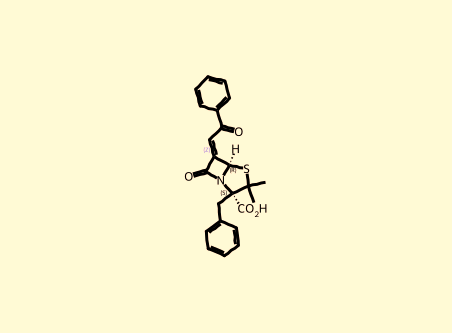 CC1(C)S[C@@H]2/C(=C\C(=O)c3ccccc3)C(=O)N2[C@@]1(Cc1ccccc1)C(=O)O